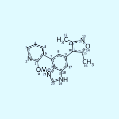 COc1ncccc1-c1cc(-c2c(C)noc2C)cc2[nH]cnc12